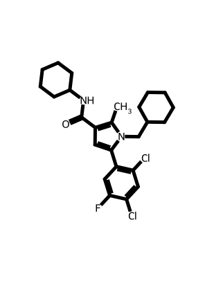 Cc1c(C(=O)NC2CCCCC2)cc(-c2cc(F)c(Cl)cc2Cl)n1CC1CCCCC1